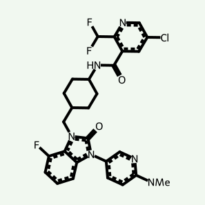 CNc1ccc(-n2c(=O)n(CC3CCC(NC(=O)c4cc(Cl)cnc4C(F)F)CC3)c3c(F)cccc32)cn1